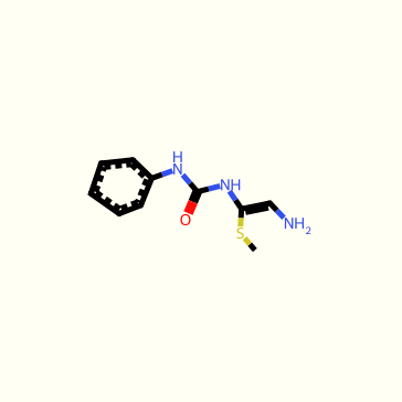 CS/C(=C\N)NC(=O)Nc1ccccc1